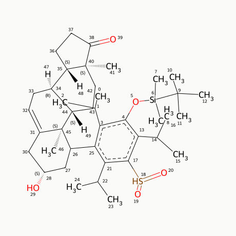 CC(C)c1c(O[Si](C)(C)C(C)(C)C)c(C(C)C)c([SH](=O)=O)c(C(C)C)c1C1C[C@H](O)CC2=CC[C@H]3[C@@H]4CCC(=O)[C@@]4(C)CC[C@@H]3[C@]21C